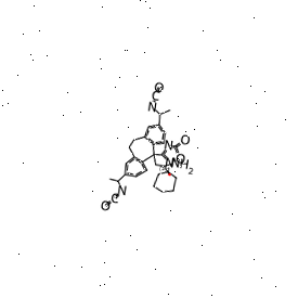 CC(N=C=O)c1ccc2c(c1)CCc1cc(C(C)N=C=O)ccc1C2(C[C@H](C)N)c1nc(=O)on1C1CCCCC1